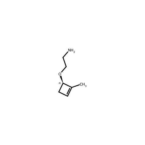 CC1=CC[C@H]1OCCN